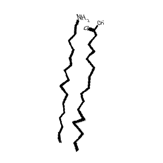 CCCCCCCCCCCCCCCC(=O)O.CCCCCCCCCCCCCCCCN